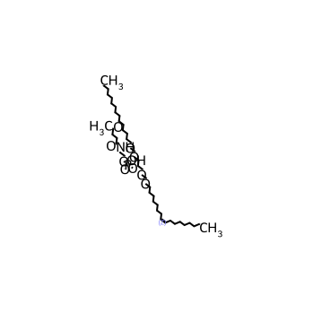 CCCCCCCC/C=C\CCCCCCCOCOCC(COCOCCCCCCCCCCCCCCC)OP(=O)(O)OCCNC(=O)CCC(C)=O